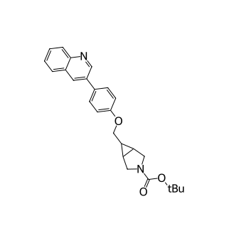 CC(C)(C)OC(=O)N1CC2C(COc3ccc(-c4cnc5ccccc5c4)cc3)C2C1